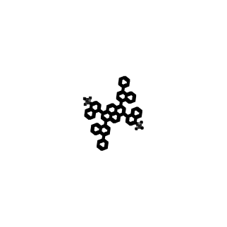 C[Si](C)(C)c1ccc(-c2cc(-c3ccc(-c4ccccc4)c4ccccc34)c3ccc4c(-c5ccc([Si](C)(C)C)c6ccccc56)cc(-c5ccc(-c6ccccc6)c6ccccc56)c5ccc2c3c54)c2ccccc12